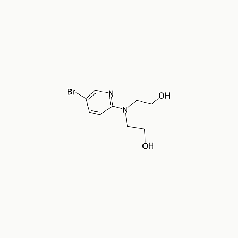 OCCN(CCO)c1ccc(Br)cn1